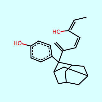 C=C(/C=C\C(O)=C/C)C1(c2ccc(O)cc2)C2CC3CC(C2)CC1C3